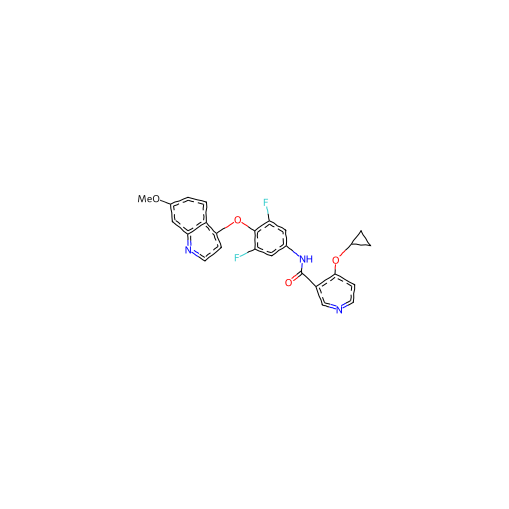 COc1ccc2c(Oc3c(F)cc(NC(=O)c4cnccc4OC4CC4)cc3F)ccnc2c1